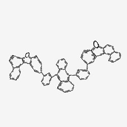 c1cc(-c2ccc3oc4ccc5ccccc5c4c3c2)cc(-c2c3ccccc3c(-c3cccc(-c4ccc5oc6ccc7ccccc7c6c5c4)c3)c3ccccc23)c1